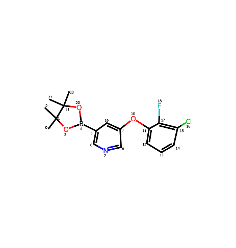 CC1(C)OB(c2cncc(Oc3cccc(Cl)c3F)c2)OC1(C)C